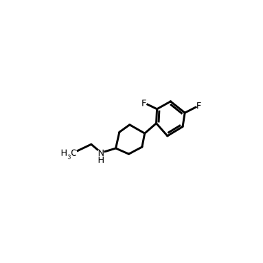 CCNC1CCC(c2ccc(F)cc2F)CC1